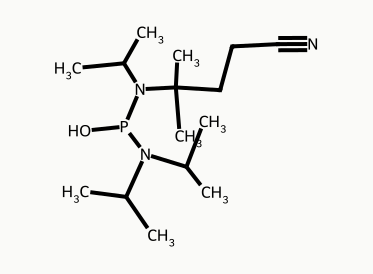 CC(C)N(C(C)C)P(O)N(C(C)C)C(C)(C)CCC#N